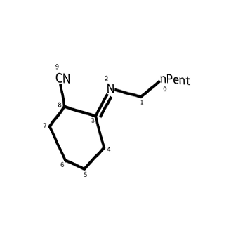 CCCCCCN=C1CCCCC1C#N